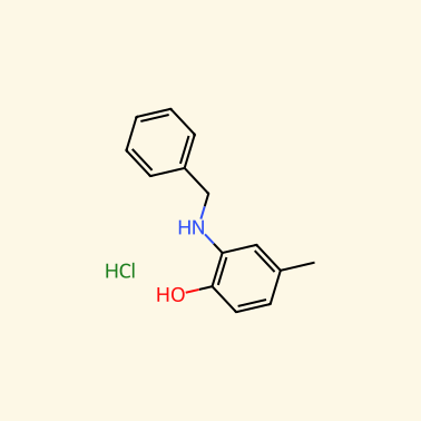 Cc1ccc(O)c(NCc2ccccc2)c1.Cl